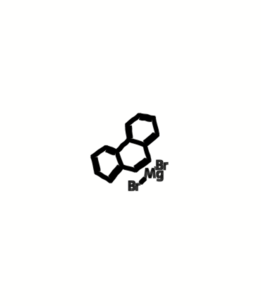 [Br][Mg][Br].c1ccc2c(c1)ccc1ccccc12